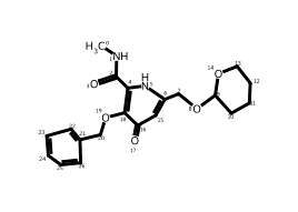 CNC(=O)c1[nH]c(COC2CCCCO2)cc(=O)c1OCc1ccccc1